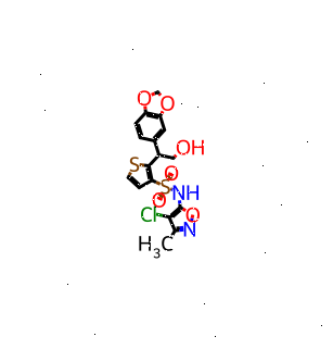 Cc1noc(NS(=O)(=O)c2ccsc2C(CO)c2ccc3c(c2)OCO3)c1Cl